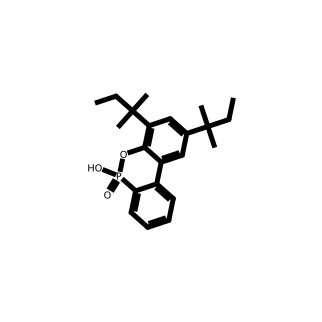 CCC(C)(C)c1cc2c(c(C(C)(C)CC)c1)OP(=O)(O)c1ccccc1-2